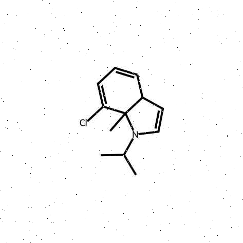 CC(C)N1C=CC2C=CC=C(Cl)C21C